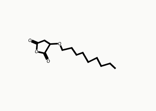 CCCCCCCCCOC1CC(=O)OC1=O